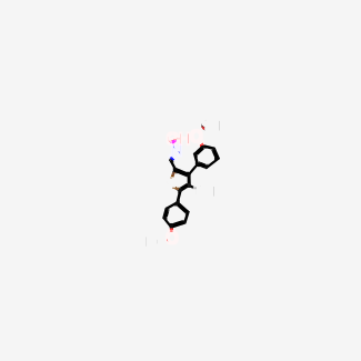 COc1ccc(-c2sc(/C=N/O)c(-c3cccc(OC)c3)c2C)cc1